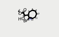 COC(=O)C(O)C1CCCCC/C=C\1Br